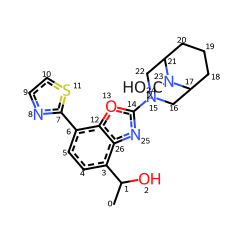 CC(O)c1ccc(-c2nccs2)c2oc(N3CC4CCCC(C3)N4C(=O)O)nc12